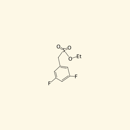 CCOS(=O)(=O)Cc1cc(F)cc(F)c1